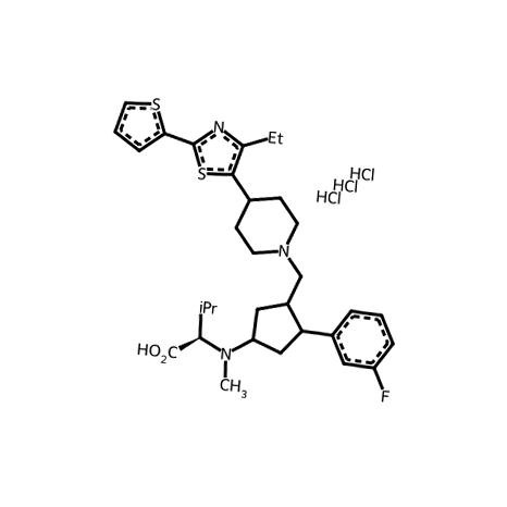 CCc1nc(-c2cccs2)sc1C1CCN(CC2CC(N(C)[C@@H](C(=O)O)C(C)C)CC2c2cccc(F)c2)CC1.Cl.Cl.Cl